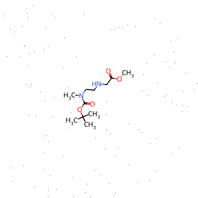 COC(=O)CNCCN(C)C(=O)OC(C)(C)C